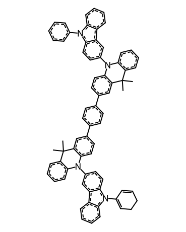 CC1(C)c2ccccc2N(c2ccc3c(c2)c2ccccc2n3C2=CCCC=C2)c2ccc(-c3ccc(-c4ccc5c(c4)C(C)(C)c4ccccc4N5c4ccc5c(c4)c4ccccc4n5-c4ccccc4)cc3)cc21